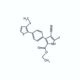 CCOC(=O)c1[nH]c(I)c(C#N)c1-c1ccc(-c2sccc2SC)cc1